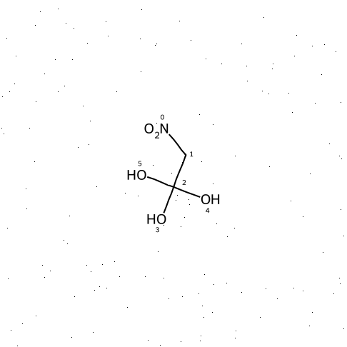 O=[N+]([O-])CC(O)(O)O